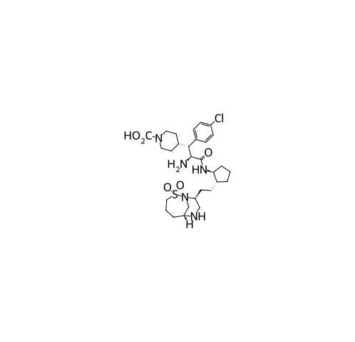 N[C@H](C(=O)N[C@H]1CCC[C@@H]1CC[C@H]1CN[C@@H]2CCCS(=O)(=O)N1C2)[C@@H](c1ccc(Cl)cc1)C1CCN(C(=O)O)CC1